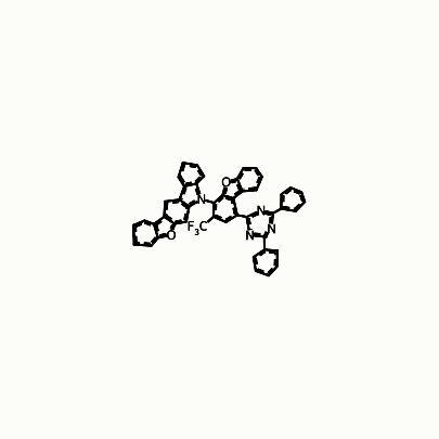 FC(F)(F)c1cc(-c2nc(-c3ccccc3)nc(-c3ccccc3)n2)c2c(oc3ccccc32)c1-n1c2ccccc2c2cc3c(cc21)oc1ccccc13